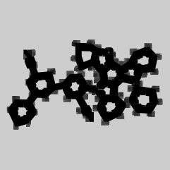 N#Cc1cc(-c2ccccc2)cc(-c2ccc(-n3c4ccccc4c4c3c3c5c(oc3c3c6ccccc6n(-c6ccccc6)c34)C=CCC5)c(C#N)c2)c1